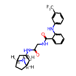 O=C(CNC(=O)c1ccccc1Nc1cccc(C(F)(F)F)c1)N[C@H]1C[C@H]2CC[C@@H](C1)N2C(=O)O